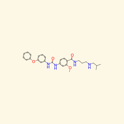 COc1cc(NC(=O)Nc2cccc(Oc3ccccc3)c2)ccc1C(=O)NCCCNCC(C)C